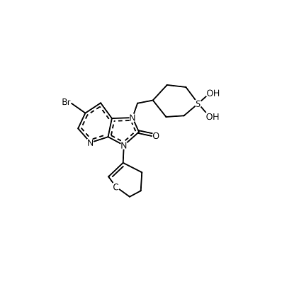 O=c1n(CC2CCS(O)(O)CC2)c2cc(Br)cnc2n1C1=CCCCC1